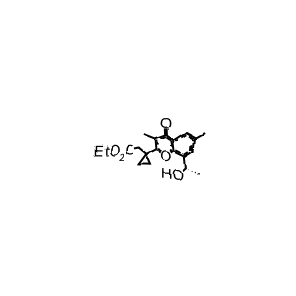 CCOC(=O)CC1(c2oc3c([C@H](C)O)cc(C)cc3c(=O)c2C)CC1